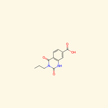 CCCn1c(=O)[nH]c2cc(C(=O)O)ccc2c1=O